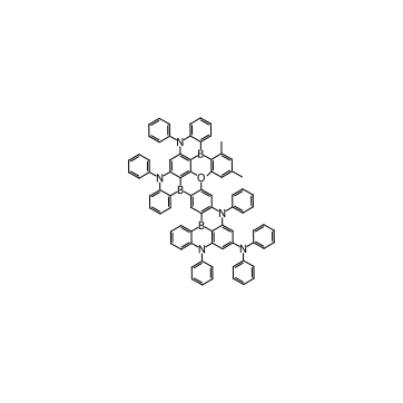 Cc1cc(C)c(B2c3ccccc3N(c3ccccc3)c3cc4c5c(c32)Oc2cc3c(cc2B5c2ccccc2N4c2ccccc2)B2c4ccccc4N(c4ccccc4)c4cc(N(c5ccccc5)c5ccccc5)cc(c42)N3c2ccccc2)c(C)c1